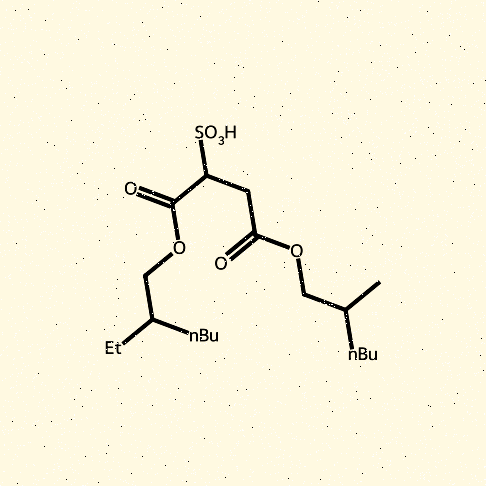 CCCCC(C)COC(=O)CC(C(=O)OCC(CC)CCCC)S(=O)(=O)O